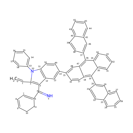 C=Cc1c(C(=N)C2=CC=CCC2)c2cc(-c3ccc4c(-c5ccc6ccccc6c5)c5ccccc5c(-c5ccc6ccccc6c5)c4c3)ccc2n1-c1ccccc1